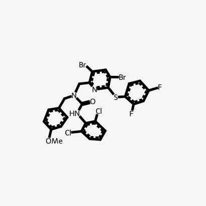 COc1ccc(CN(Cc2nc(Sc3ccc(F)cc3F)c(Br)cc2Br)C(=O)Nc2c(Cl)cccc2Cl)cc1